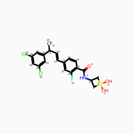 O=C(NC1CS(O)(O)C1)c1ccc(C=CC(c2cc(Cl)cc(Cl)c2)C(F)(F)F)cc1F